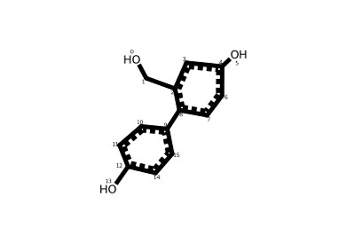 OCc1cc(O)ccc1-c1ccc(O)cc1